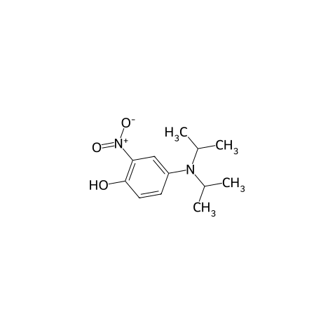 CC(C)N(c1ccc(O)c([N+](=O)[O-])c1)C(C)C